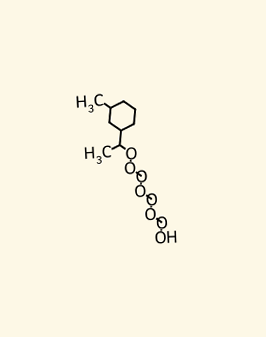 CC1CCCC(C(C)OOOOOOOO)C1